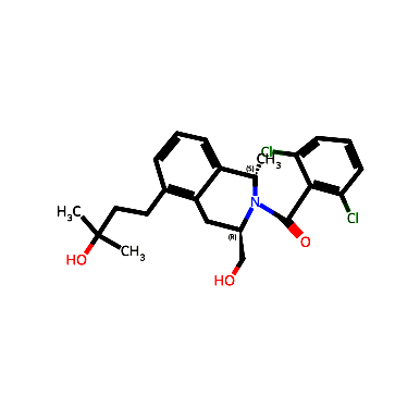 C[C@H]1c2cccc(CCC(C)(C)O)c2C[C@H](CO)N1C(=O)c1c(Cl)cccc1Cl